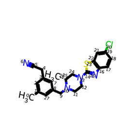 Cc1cc(CC#N)cc(CN2CCN(c3nc4ccc(Cl)cc4s3)C[C@H]2C)c1